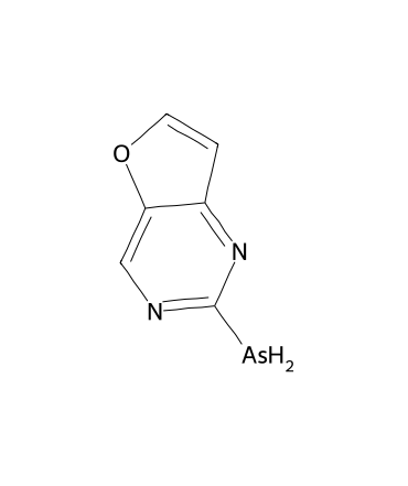 [AsH2]c1ncc2occc2n1